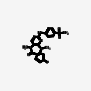 CN1C(=O)c2ccc(F)cc2N(C)c2nc(Nc3ccc(S(N)(=O)=O)cc3)ncc21